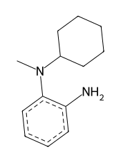 CN(c1ccccc1N)C1CCCCC1